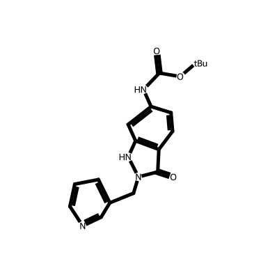 CC(C)(C)OC(=O)Nc1ccc2c(=O)n(Cc3cccnc3)[nH]c2c1